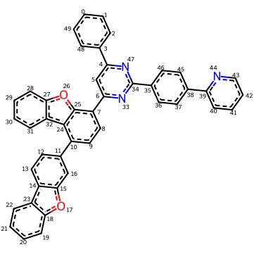 c1ccc(-c2cc(-c3ccc(-c4ccc5c(c4)oc4ccccc45)c4c3oc3ccccc34)nc(-c3ccc(-c4ccccn4)cc3)n2)cc1